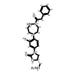 CC(=O)NC[C@H]1CN(c2ccc(N3CCNN(C(=O)Cc4ccccc4)CC3)c(F)c2)C(=O)O1